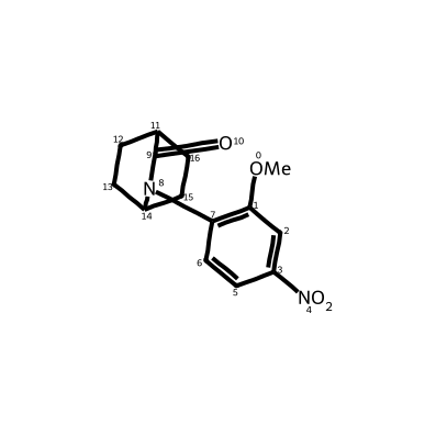 COc1cc([N+](=O)[O-])ccc1N1C(=O)C2CCC1CC2